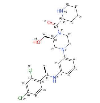 C[C@@H](Nc1cccc(N2CCN(C(=O)[C@H]3CCCCN3)[C@H](CO)C2)c1)c1ccc(Cl)cc1Cl